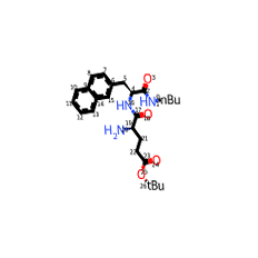 CCCCNC(=O)[C@H](Cc1ccc2ccccc2c1)NC(=O)[C@H](N)CCC(=O)OC(C)(C)C